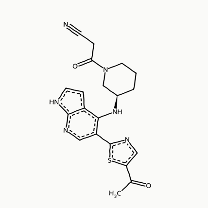 CC(=O)c1cnc(-c2cnc3[nH]ccc3c2N[C@@H]2CCCN(C(=O)CC#N)C2)s1